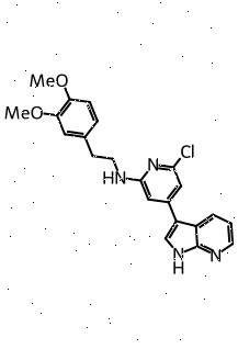 COc1ccc(CCNc2cc(-c3c[nH]c4ncccc34)cc(Cl)n2)cc1OC